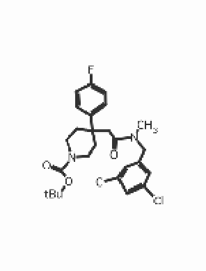 CN(Cc1cc(Cl)cc(Cl)c1)C(=O)CC1(c2ccc(F)cc2)CCN(C(=O)OC(C)(C)C)CC1